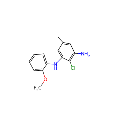 Cc1cc(N)c(Cl)c(Nc2ccccc2OC(F)(F)F)c1